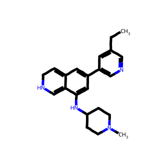 CCc1cncc(-c2cc(NC3CCN(C)CC3)c3c(c2)=CCNC=3)c1